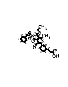 CCOC(=O)c1c(C)nc(N2CCCC(CCC(=O)O)C2)c(C#N)c1C(=O)NS(=O)(=O)Cc1ccccc1